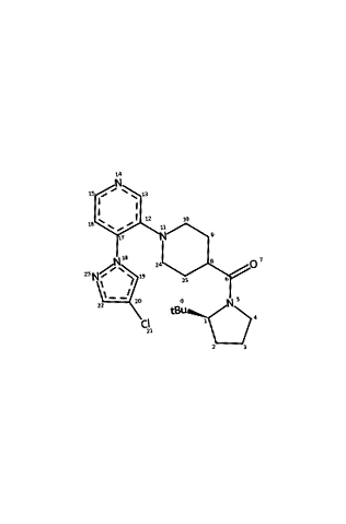 CC(C)(C)[C@@H]1CCCN1C(=O)C1CCN(c2cnccc2-n2cc(Cl)cn2)CC1